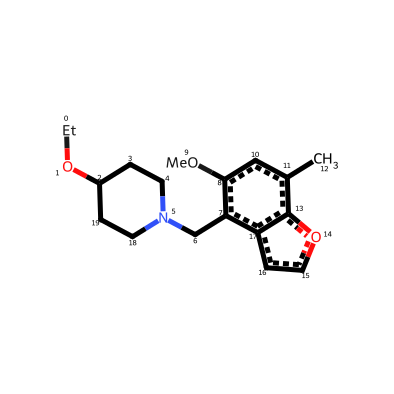 CCOC1CCN(Cc2c(OC)cc(C)c3occc23)CC1